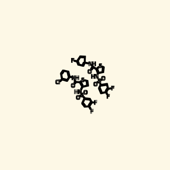 O=C(Nc1ccc(F)cc1)c1sccc1NS(=O)(=O)c1ccc(F)c(F)c1.O=C(Nc1cccc(Cl)c1)c1sccc1NS(=O)(=O)c1ccc(F)c(F)c1